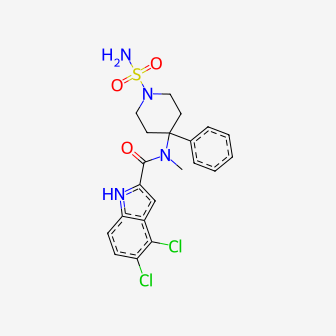 CN(C(=O)c1cc2c(Cl)c(Cl)ccc2[nH]1)C1(c2ccccc2)CCN(S(N)(=O)=O)CC1